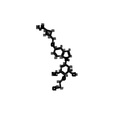 N#Cc1cc(-n2ccc3cc(OCC45CC(N)(C4)C5)ccc32)cc(Cl)c1OCCCl